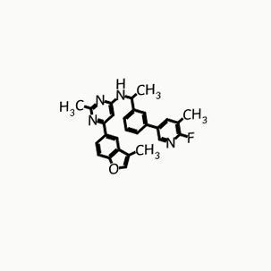 Cc1nc(NC(C)c2cccc(-c3cnc(F)c(C)c3)c2)cc(-c2ccc3occ(C)c3c2)n1